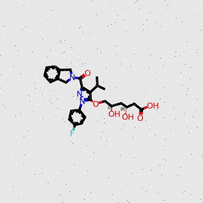 CC(C)c1c(C(=O)N2Cc3ccccc3C2)nn(-c2ccc(F)cc2)c1OC[C@@H](O)C[C@@H](O)CC(=O)O